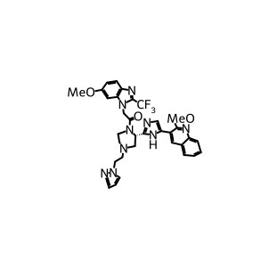 COc1ccc2nc(C(F)(F)F)n(CC(=O)N3CCN(CCn4cccn4)C[C@H]3c3ncc(-c4cc5ccccc5nc4OC)[nH]3)c2c1